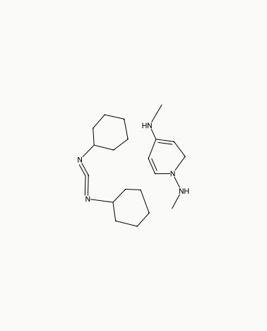 C(=NC1CCCCC1)=NC1CCCCC1.CNC1=CCN(NC)C=C1